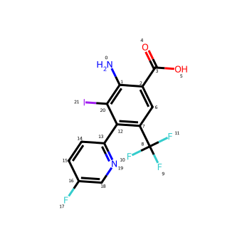 Nc1c(C(=O)O)cc(C(F)(F)F)c(-c2ccc(F)cn2)c1I